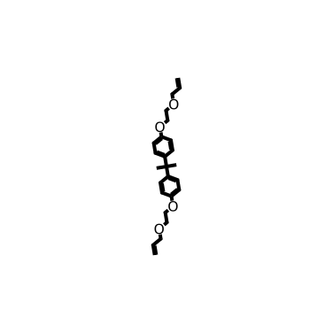 C=CCOCCOc1ccc(C(C)(C)c2ccc(OCCOCC=C)cc2)cc1